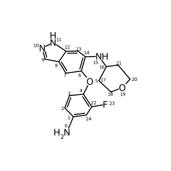 Nc1ccc(Oc2cc3cn[nH]c3cc2NC2CCOCC2)c(F)c1